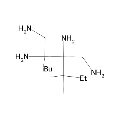 CCC(C)C(N)(CN)C(N)(CN)C(C)(C)CC